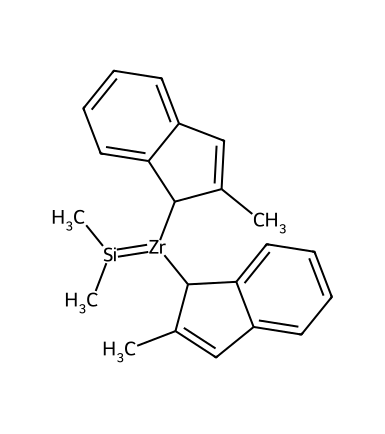 CC1=Cc2ccccc2[CH]1[Zr]([CH]1C(C)=Cc2ccccc21)=[Si](C)C